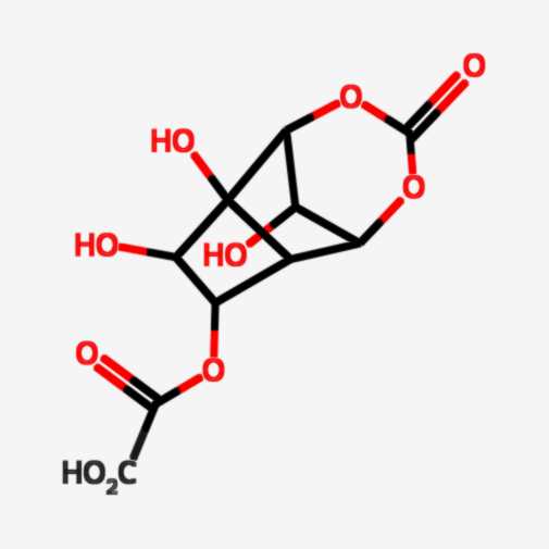 O=C1OC2C(O)C(O1)C1(O)C(O)C(OC(=O)C(=O)O)C21